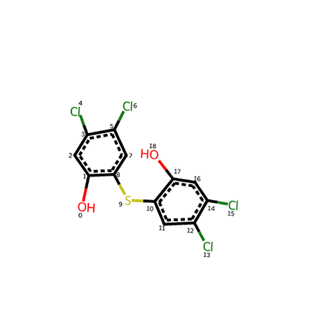 Oc1cc(Cl)c(Cl)cc1Sc1cc(Cl)c(Cl)cc1O